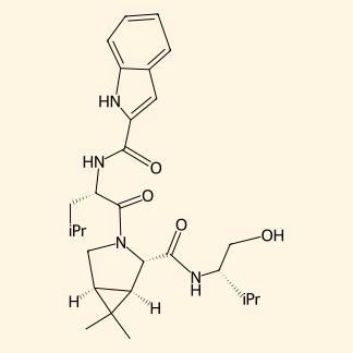 CC(C)C[C@H](NC(=O)c1cc2ccccc2[nH]1)C(=O)N1C[C@H]2[C@@H]([C@H]1C(=O)N[C@H](CO)C(C)C)C2(C)C